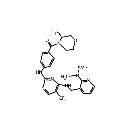 CSN(C)c1ncccc1CNc1nc(Nc2ccc(C(=O)N3CCOC[C@@H]3C)cc2)ncc1C(F)(F)F